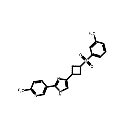 O=S(=O)(c1cccc(C(F)(F)F)c1)C1CC(c2c[nH]c(-c3ccc(C(F)(F)F)nc3)n2)C1